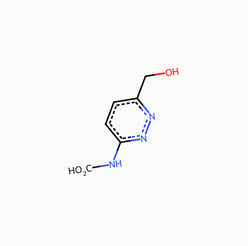 O=C(O)Nc1ccc(CO)nn1